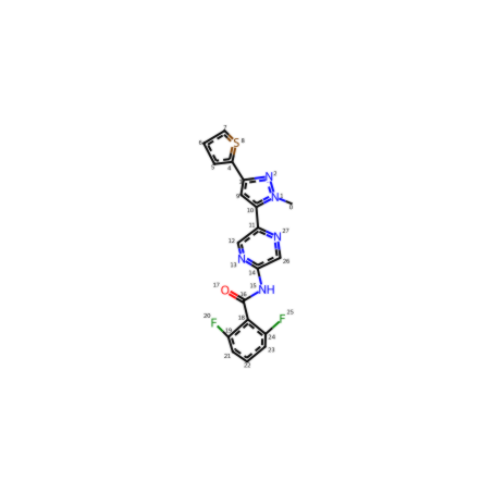 Cn1nc(-c2cccs2)cc1-c1cnc(NC(=O)c2c(F)cccc2F)cn1